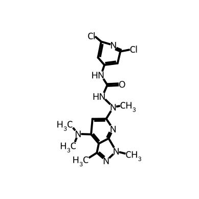 Cc1nn(C)c2nc(N(C)NC(=O)Nc3cc(Cl)nc(Cl)c3)cc(N(C)C)c12